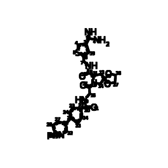 N=C(N)c1csc(CNC(=O)[C@@H]2CC3(CN2C(=O)CNC(=O)c2ccc(-c4ccc(F)nc4)cc2)OCCO3)c1